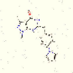 Cc1nn(C)c2nc(Cc3ccc(-n4cccc4)cc3)[nH]c(=O)c12